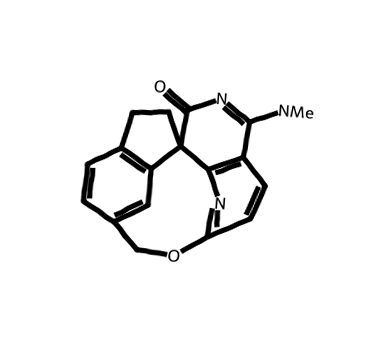 CNC1=NC(=O)C23CCc4ccc(cc42)COc2ccc1c3n2